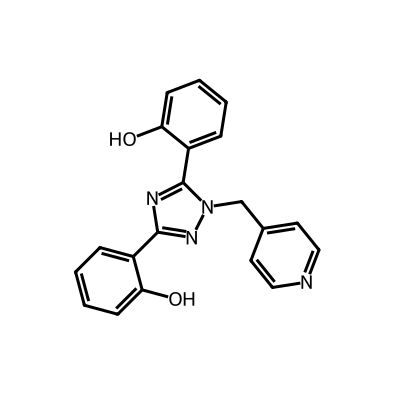 Oc1ccccc1-c1nc(-c2ccccc2O)n(Cc2ccncc2)n1